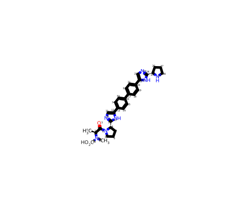 C[C@@H](C(=O)N1CCC[C@H]1c1ncc(-c2ccc(-c3ccc(-c4cnc([C@@H]5CCCN5)[nH]4)cc3)cc2)[nH]1)N(C)C(=O)O